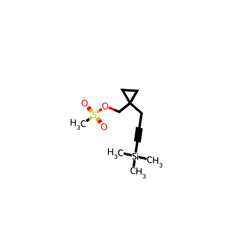 C[Si](C)(C)C#CCC1(COS(C)(=O)=O)CC1